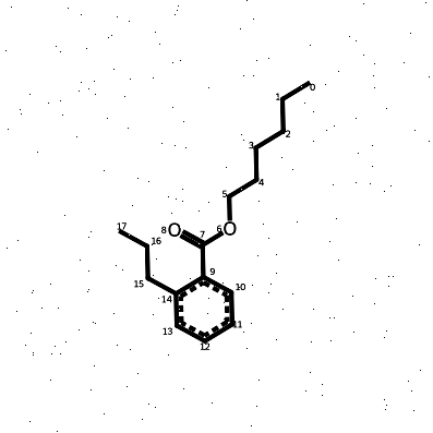 CCCCCCOC(=O)c1ccccc1CCC